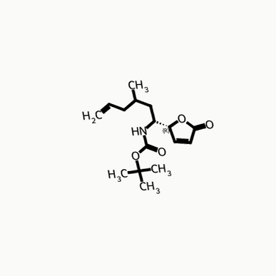 C=CCC(C)CC(NC(=O)OC(C)(C)C)[C@H]1C=CC(=O)O1